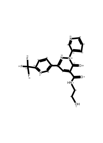 O=C(NCCO)c1cc(-c2ccc(C(F)(F)F)nc2)nn(-c2cccnc2)c1=O